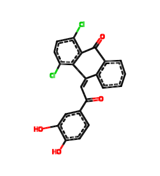 O=C(C=C1c2ccccc2C(=O)c2c(Cl)ccc(Cl)c21)c1ccc(O)c(O)c1